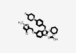 Cn1cc(Cl)c(COc2ccc3nc([C@@H]4CCCC[C@@H]4C(=O)O)n(Cc4ccc(N5CCC(F)CC5)cc4)c3c2)n1